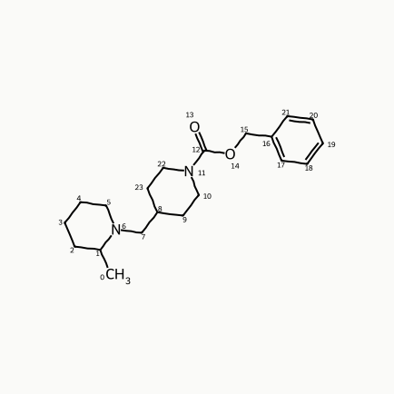 CC1CCCCN1CC1CCN(C(=O)OCc2ccccc2)CC1